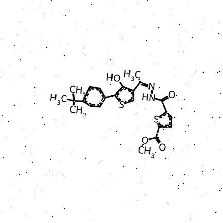 COC(=O)c1ccc(C(=O)N/N=C(/C)c2csc(-c3ccc(C(C)(C)C)cc3)c2O)s1